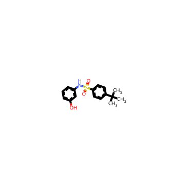 CC(C)(C)c1ccc(S(=O)(=O)Nc2cccc(O)c2)cc1